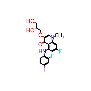 Cn1cc(OC[C@H](O)CO)c(=O)c2c(Nc3ccc(I)cc3F)cc(F)cc21